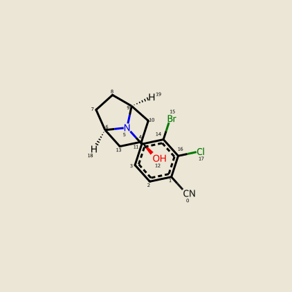 N#Cc1ccc(N2[C@@H]3CC[C@H]2C[C@@H](O)C3)c(Br)c1Cl